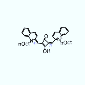 CCCCCCCCN1/C(=C/C2=C(O)C(=C/c3ccc4ccccc4[n+]3CCCCCCCC)/C2=O)C=Cc2ccccc21